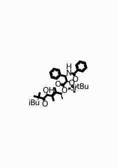 CC[C@H](C)C(C)(C)C(=O)[C@H](O)/C(C)=C(\C)[C@H](C)OC(=O)[C@H](O[Si](C)(C)C(C)(C)C)[C@@H](NC(=O)c1ccccc1)c1ccccc1